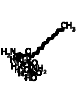 CCCCCCCCCCCCCCN(C(=O)CCC(N)N)[C@H](C(=O)C(C)C(N)(N)C(=O)O)C(C)C